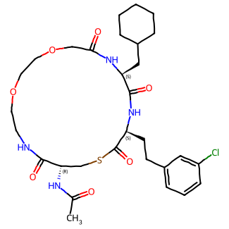 CC(=O)N[C@H]1CSC(=O)[C@H](CCc2cccc(Cl)c2)NC(=O)[C@H](CC2CCCCC2)NC(=O)COCCOCCNC1=O